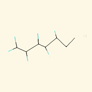 O=S(=O)(O)CC(F)C(F)C(F)C(F)C(F)F